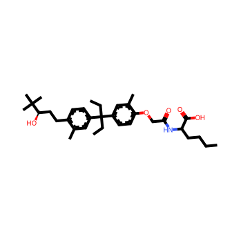 CCCCC(NC(=O)COc1ccc(C(CC)(CC)c2ccc(CC[C@@H](O)C(C)(C)C)c(C)c2)cc1C)C(=O)O